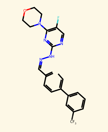 C=C(/C=C\C(=C/C)c1cccc(C(F)(F)F)c1)/C=N\Nc1ncc(F)c(N2CCOCC2)n1